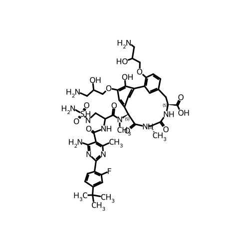 Cc1nc(-c2ccc(C(C)(C)C)cc2F)nc(N)c1C(=O)NC(CNS(N)(=O)=O)C(=O)N(C)[C@@H]1C(=O)N[C@@H](C)C(=O)N[C@H](C(=O)O)Cc2ccc(OCC(O)CN)c(c2)-c2cc1cc(OCC(O)CN)c2O